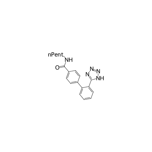 CCCCCNC(=O)c1ccc(-c2ccccc2-c2nnn[nH]2)cc1